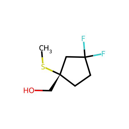 CS[C@@]1(CO)CCC(F)(F)C1